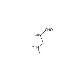 C=C(C=O)CN(C)C